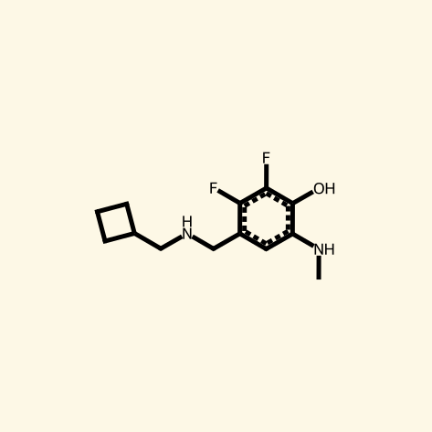 CNc1cc(CNCC2CCC2)c(F)c(F)c1O